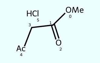 COC(=O)CC(C)=O.Cl